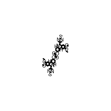 CCOc1cc2c(cc1OC)C(c1cnc(SC)nc1)=N[C@@H]1CC[C@@H](OC(=O)C(=O)O[C@@H]3CC[C@H]4N=C(c5cnc(SC)nc5)c5cc(OC)c(OCC)cc5[C@H]4C3)C[C@H]21